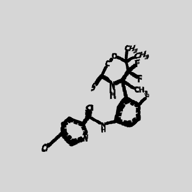 CC1(C)OCC(=S)NC(C)(c2cc(NC(=O)c3ccc(Cl)cn3)ccc2F)C1(F)F